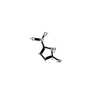 O=[N+]([O-])c1ccc(Br)[nH]1